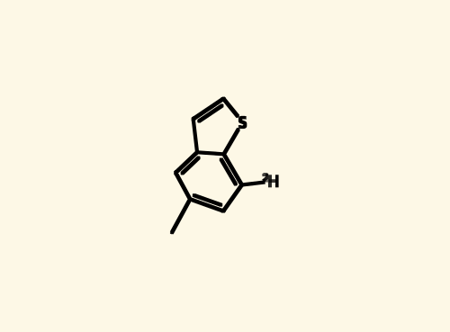 [2H]c1cc(C)cc2ccsc12